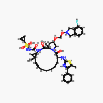 Cc1sc(N[C@H]2CCCCC/C=C\[C@@H]3C[C@@]3(C(=O)NS(=O)(=O)C3CC3)NC(=O)[C@@H]3C[C@@H](OCON4Cc5cccc(F)c5C4)CN3C2=O)nc1-c1ccccc1